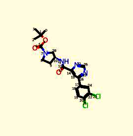 CC(C)(C)OC(=O)N1CC[C@H](NC(=O)c2cc(-c3ccc(Cl)c(Cl)c3)ncn2)C1